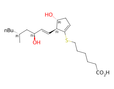 CCCC[C@@H](C)C[C@H](O)C=C[C@@H]1C(SCCCCCC(=O)O)=CC[C@H]1O